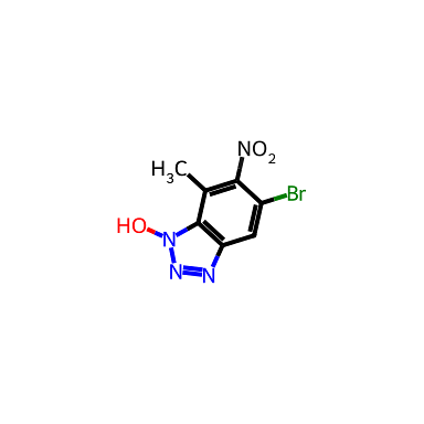 Cc1c([N+](=O)[O-])c(Br)cc2nnn(O)c12